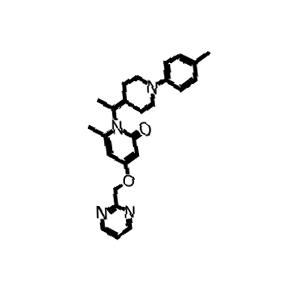 Cc1ccc(N2CCC(C(C)n3c(C)cc(OCc4ncccn4)cc3=O)CC2)cc1